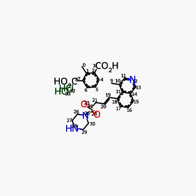 Cc1c(C(=O)O)cccc1C(=O)O.Cc1cncc2cccc(C=CCS(=O)(=O)N3CCNCC3)c12.Cl.Cl